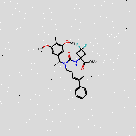 CCOc1cc([C@@H](C)N(CC/C=C(\C)c2ccccc2)C(=O)NC2(C(=O)OC)CC(F)(F)C2)cc(OCC)c1C